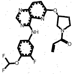 C=CC(=O)N1CC[C@H](Oc2ccc3ncnc(Nc4ccc(OC(F)F)c(F)c4)c3n2)C1